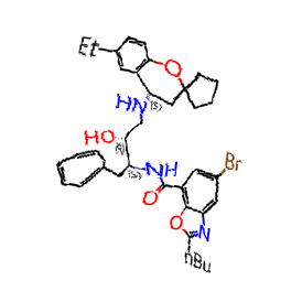 CCCCc1nc2cc(Br)cc(C(=O)N[C@@H](Cc3ccccc3)[C@H](O)CN[C@H]3CC4(CCCC4)Oc4ccc(CC)cc43)c2o1